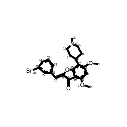 COc1cc(OC)c(C2CCN(C)CC2)c2c1C(=O)/C(=C/c1cccc(Br)c1)O2